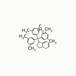 Cc1cc(C)cc(C(c2cc(C)cc(C)c2)(c2cc(C)cc(C)c2)C2CCC3CC=CC=C32)c1